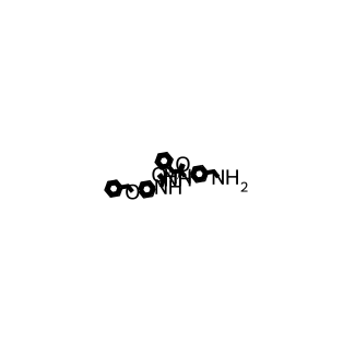 NCc1ccc(NC(=O)[C@@H](NC(=O)Nc2ccc(OCc3ccccc3)cc2)c2ccccc2)cc1